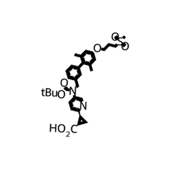 Cc1cc(OCCCS(C)(=O)=O)cc(C)c1-c1cccc(CN(C(=O)OC(C)(C)C)c2ccc([C@H]3C[C@@H]3C(=O)O)nc2)c1